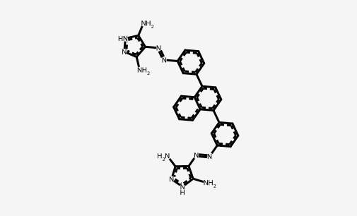 Nc1n[nH]c(N)c1N=Nc1cccc(-c2ccc(-c3cccc(N=Nc4c(N)n[nH]c4N)c3)c3ccccc23)c1